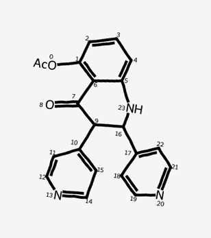 CC(=O)Oc1cccc2c1C(=O)C(c1ccncc1)C(c1ccncc1)N2